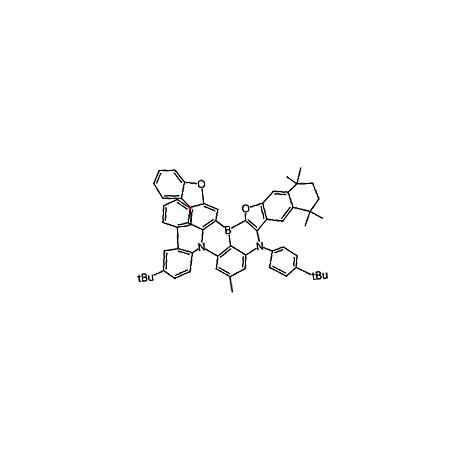 Cc1cc2c3c(c1)N(c1ccc(C(C)(C)C)cc1)c1c(oc4cc5c(cc14)C(C)(C)CCC5(C)C)B3c1cc3oc4ccccc4c3cc1N2c1ccc(C(C)(C)C)cc1-c1ccccc1